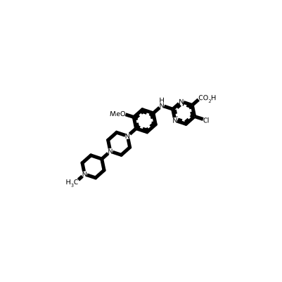 COc1cc(Nc2ncc(Cl)c(C(=O)O)n2)ccc1N1CCN(C2CCN(C)CC2)CC1